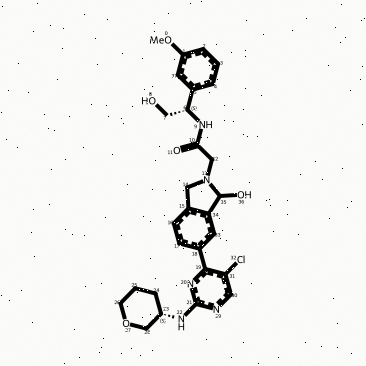 COc1cccc([C@@H](CO)NC(=O)CN2Cc3ccc(-c4nc(N[C@H]5CCCOC5)ncc4Cl)cc3C2O)c1